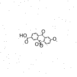 COc1ccc2c(c1)C(=O)c1ccc(C(=O)O)cc1S2(=O)=O